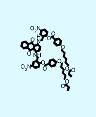 C=CC(=O)OCCCCCCOc1ccc(C(=O)Oc2ccc([N+](=O)[O-])cc2CNc2ccc(NCc3cc([N+](=O)[O-])ccc3OC(=O)c3ccc(OCCCCCCOC(=O)C=C)cc3)c3c2C(=O)c2ccccc2C3=O)cc1